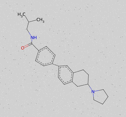 CC(C)CNC(=O)c1ccc(-c2ccc3c(c2)CCC(N2CCCC2)C3)cc1